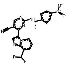 C[C@H](Nc1ncc(C#N)c(-c2cnc3c(C(F)F)cccn23)n1)c1ccc([N+](=O)[O-])cc1